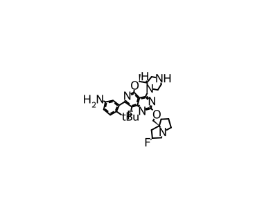 C[C@@H]1Oc2nc(-c3cc(N)ccc3C(C)(C)C)c(F)c3nc(OC[C@@]45CCCN4C[C@H](F)C5)nc(c23)N2CCNC[C@@H]12